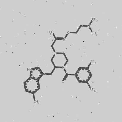 CC(CN1CCN(C(=O)c2cc(C(F)(F)F)cc(C(F)(F)F)c2)C(Cc2c[nH]c3ccc(C)cc23)C1)=NOCCN(C)C